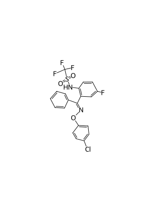 O=S(=O)(Nc1ccc(F)cc1C(=NOc1ccc(Cl)cc1)c1ccccc1)C(F)(F)F